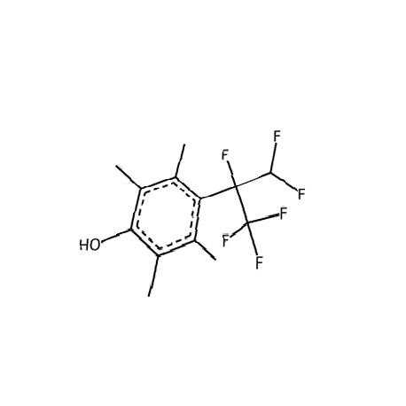 Cc1c(C)c(C(F)(C(F)F)C(F)(F)F)c(C)c(C)c1O